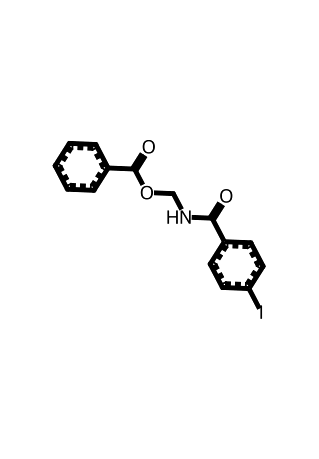 O=C(NCOC(=O)c1ccccc1)c1ccc(I)cc1